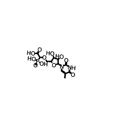 Cc1cn(C2OC(COC(C(=O)O)P(=O)(O)O)C(O)C2O)c(=O)[nH]c1=O